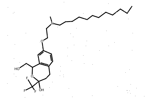 CCCCCCCCCCCCN(C)CCOc1ccc2c(c1)C(CO)OC(O)(C(F)(F)F)CC2